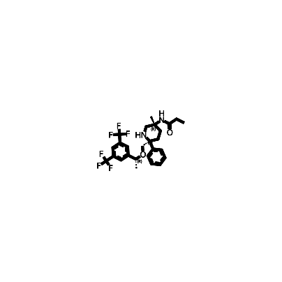 CCC(=O)N[C@]1(C)CC[C@@](CO[C@H](C)c2cc(C(F)(F)F)cc(C(F)(F)F)c2)(c2ccccc2)NC1